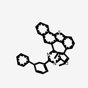 C/C=C\C(=C/C)c1cccc2sc3c4ccccc4cc(-c4nc(Cl)nc(C5=CC=CC(c6ccccc6)C5)n4)c3c12